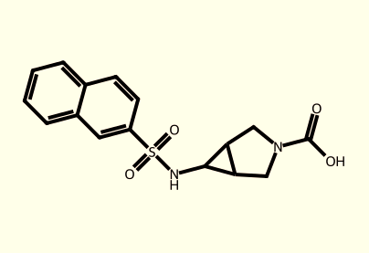 O=C(O)N1CC2C(C1)C2NS(=O)(=O)c1ccc2ccccc2c1